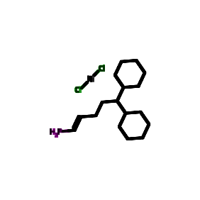 PC=CCCC(C1CCCCC1)C1CCCCC1.[Cl][Ni][Cl]